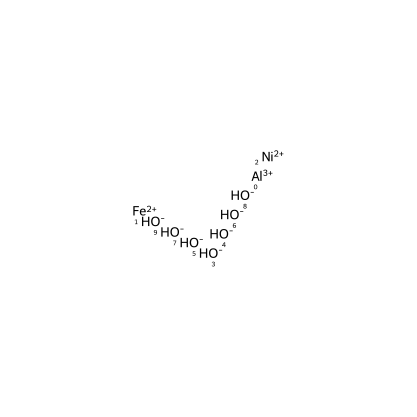 [Al+3].[Fe+2].[Ni+2].[OH-].[OH-].[OH-].[OH-].[OH-].[OH-].[OH-]